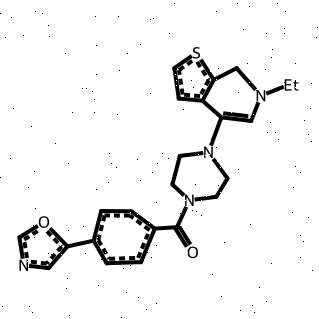 CCN1C=C(N2CCN(C(=O)c3ccc(-c4cnco4)cc3)CC2)c2ccsc2C1